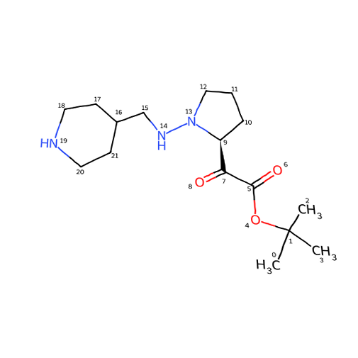 CC(C)(C)OC(=O)C(=O)[C@@H]1CCCN1NCC1CCNCC1